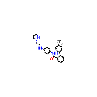 O=C(Nc1ccc(NCCn2cccn2)cc1)c1ccccc1-c1ccc(C(F)(F)F)cc1